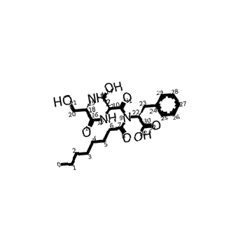 CCCCCCCC(=O)N(C(=O)[C@H](CO)NC(=O)[C@@H](N)CO)[C@@H](Cc1ccccc1)C(=O)O